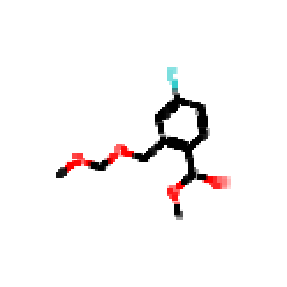 COCOCc1cc(F)ccc1B(O)OC